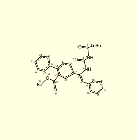 CCCCC(=O)NC(=O)NC(=Cc1ccccc1)c1ccc(-c2ccccc2)c(C(=O)OC(C)(C)C)c1